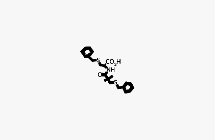 CC(C)(CSCc1ccccc1)C(=O)N[C@@H](CSCc1ccccc1)C(=O)O